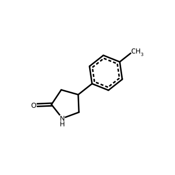 Cc1ccc(C2CNC(=O)C2)cc1